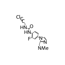 CNCc1nccn1-c1ccc(NC(=O)NCCCCl)c(F)c1